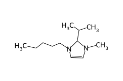 CCCCCN1C=CN(C)C1C(C)C